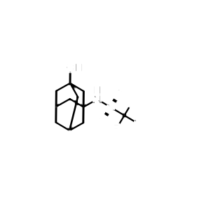 O=S(=O)(NC12CC3CC(CC(O)(C3)C1)C2)C(F)(F)F